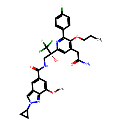 CCCOc1c(CC(N)=O)cc([C@@](O)(CNC(=O)c2cc(OC)c3nn(C4CC4)cc3c2)C(F)(F)F)nc1-c1ccc(F)cc1